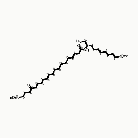 CCCCCCCCCCCCCCCCCC[C@@H](CO)NC(=O)CCCCCCCCCCCCCCCC(=O)CCCCCCCCCCCCC